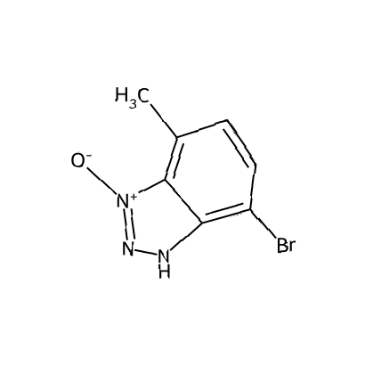 Cc1ccc(Br)c2[nH]n[n+]([O-])c12